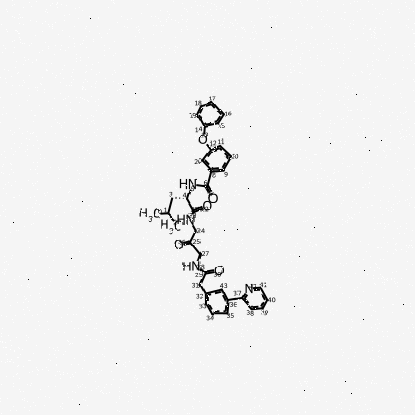 CC(C)C[C@H](NC(=O)c1cccc(Oc2ccccc2)c1)C(=O)NCC(=O)CNC(=O)Cc1cccc(-c2ccccn2)c1